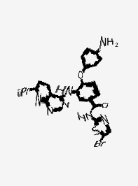 CC(C)c1ccc2c(Nc3cc(C(=O)Nc4ncc(Br)s4)ccc3Oc3ccc(N)cc3)ncnc2n1